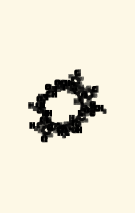 CCCN1C(=O)NC(=O)N(C)C(=O)NCC(=O)NC(=O)N(C)C(Cc2cccc(Cl)c2)C(=O)N(C)C(Cc2cccc(Cl)c2)C(=O)N[C@@H](CCS(C)(=O)=O)C(=O)N2CCCC2C(=O)NC([C@@H](C)O)C(=O)N(C)C(Cc2cccc(Cl)c2)C1=O